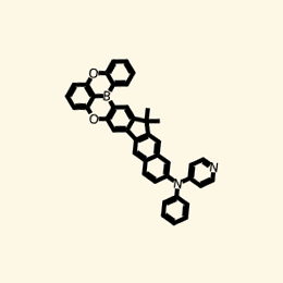 CC1(C)c2cc3c(cc2-c2cc4ccc(N(c5ccccc5)c5ccncc5)cc4cc21)Oc1cccc2c1B3c1ccccc1O2